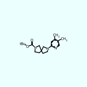 Cc1cnc(N2CCC3(CCN(C(=O)OC(C)(C)C)C3)C2)cc1C